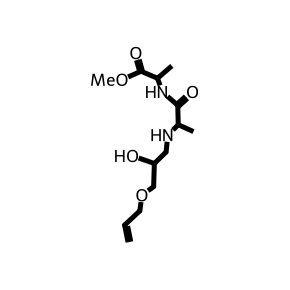 C=CCOCC(O)CNC(C)C(=O)NC(C)C(=O)OC